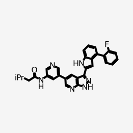 CC(C)CC(=O)Nc1cncc(-c2cnc3[nH]nc(-c4cc5c(-c6ccccc6F)cccc5[nH]4)c3c2)c1